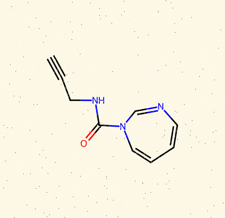 C#CCNC(=O)N1C=CC=CN=C1